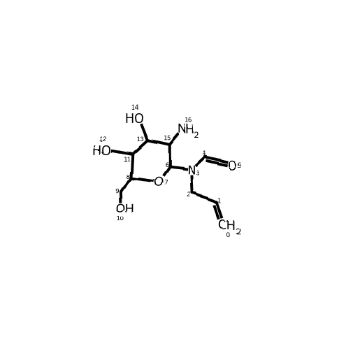 C=CCN(C=O)C1OC(CO)C(O)C(O)C1N